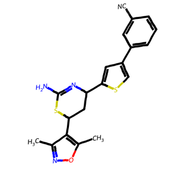 Cc1noc(C)c1C1CC(c2cc(-c3cccc(C#N)c3)cs2)N=C(N)S1